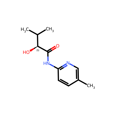 Cc1ccc(NC(=O)[C@@H](O)C(C)C)nc1